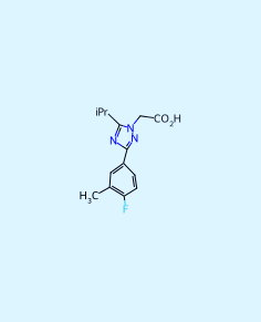 Cc1cc(-c2nc(C(C)C)n(CC(=O)O)n2)ccc1F